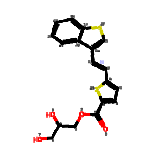 O=C(OCC(O)CO)c1ccc(/C=C/c2csc3ccccc23)s1